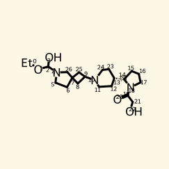 CCOC(O)N1CCC2(CC(N3CCC([C@@H]4CCCN4C(=O)CO)CC3)C2)C1